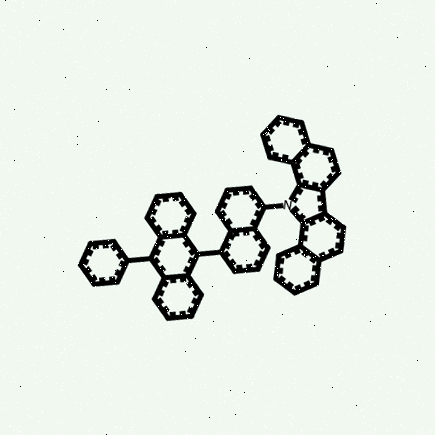 c1ccc(-c2c3ccccc3c(-c3cccc4c(-n5c6c7ccccc7ccc6c6ccc7ccccc7c65)cccc34)c3ccccc23)cc1